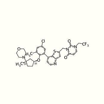 Cc1cc(Cl)cc(-c2ccnc3cc(Cn4c(=O)ccn(CC(F)(F)F)c4=O)sc23)c1O[C@H]1CC[C@](C)(N2CCOCC2)C1